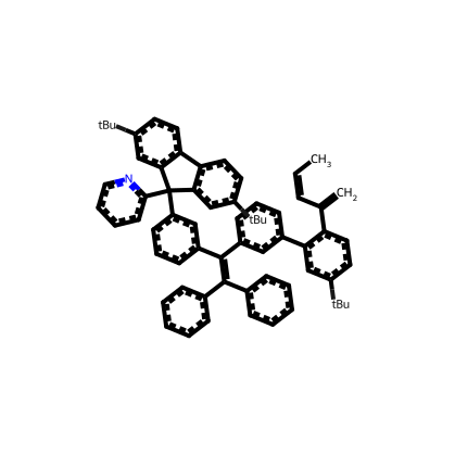 C=C(/C=C\C)c1ccc(C(C)(C)C)cc1-c1cccc(C(=C(c2ccccc2)c2ccccc2)c2cccc(C3(c4ccccn4)c4cc(C(C)(C)C)ccc4-c4ccc(C(C)(C)C)cc43)c2)c1